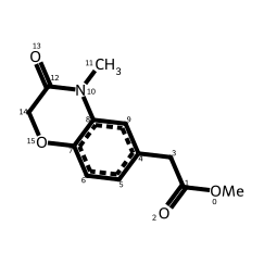 COC(=O)Cc1ccc2c(c1)N(C)C(=O)CO2